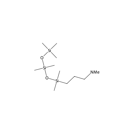 CNCCC[Si](C)(C)O[Si](C)(C)O[Si](C)(C)C